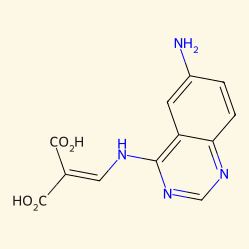 Nc1ccc2ncnc(NC=C(C(=O)O)C(=O)O)c2c1